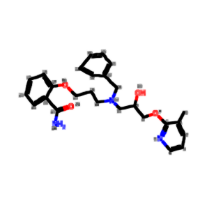 Cc1cccnc1OCC(O)CN(CCCOc1ccccc1C(N)=O)Cc1ccccc1